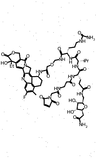 CC[C@@]1(O)C(=O)OCc2c1cc1n(c2=O)Cc2c-1nc1cc(F)c(C)c3c1c2[C@@H](NC(=O)COCNC(=O)[C@H](CCCNC(N)=O)NC(=O)[C@@H](NC(=O)[C@H](CCC(=O)NC[C@H]1O[C@@H](CC(N)=O)[C@H](O)[C@@H]1O)NC(=O)CCNC(=O)CN1C(=O)C=CC1=O)C(C)C)CC3